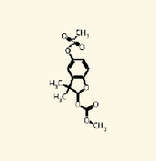 COC(=O)OC1Oc2ccc(OS(C)(=O)=O)cc2C1(C)C